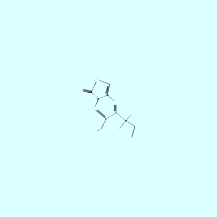 CCC1=NC2C(=O)NC=C2N=C1C(C)(C)CC